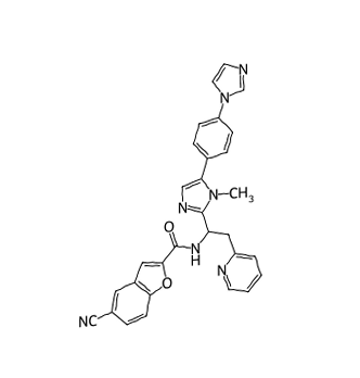 Cn1c(-c2ccc(-n3ccnc3)cc2)cnc1C(Cc1ccccn1)NC(=O)c1cc2cc(C#N)ccc2o1